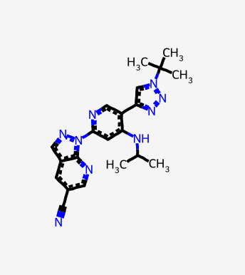 CC(C)Nc1cc(-n2ncc3cc(C#N)cnc32)ncc1-c1cn(C(C)(C)C)nn1